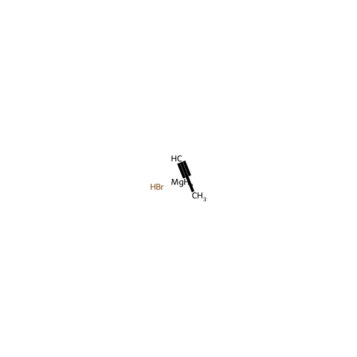 Br.C#CC.[MgH2]